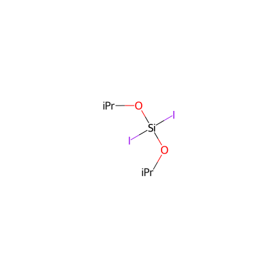 CC(C)O[Si](I)(I)OC(C)C